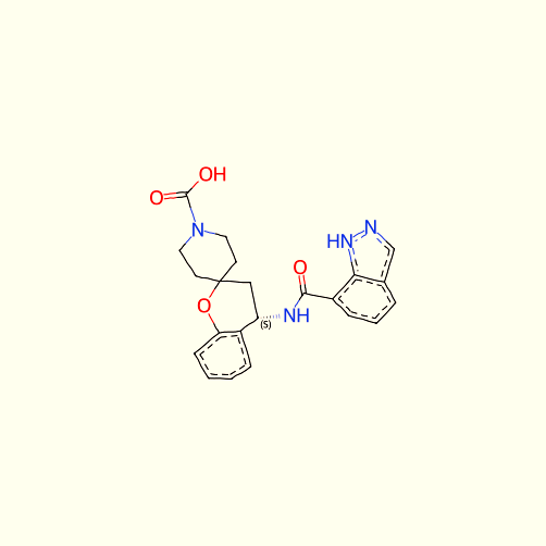 O=C(N[C@H]1CC2(CCN(C(=O)O)CC2)Oc2ccccc21)c1cccc2cn[nH]c12